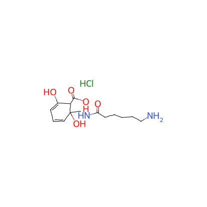 Cl.NCCCCCC(=O)NCC1(O)C=CC=C(O)C1C(=O)O